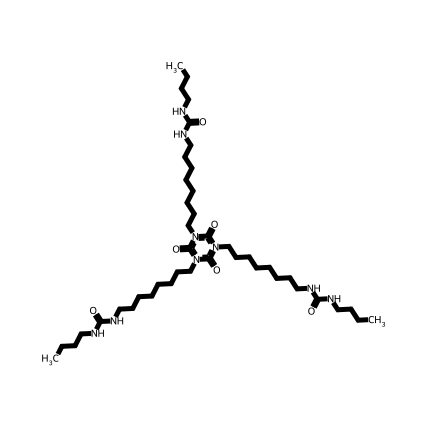 CCCCNC(=O)NCCCCCCCCn1c(=O)n(CCCCCCCCNC(=O)NCCCC)c(=O)n(CCCCCCCCNC(=O)NCCCC)c1=O